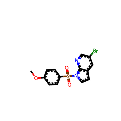 COc1ccc(S(=O)(=O)n2ccc3cc(Br)cnc32)cc1